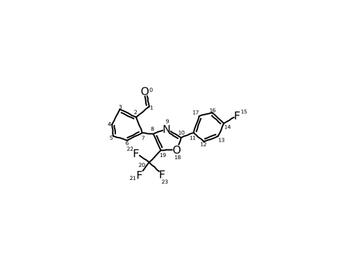 O=Cc1ccccc1-c1nc(-c2ccc(F)cc2)oc1C(F)(F)F